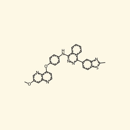 COc1cnc2c(Oc3ccc(Nc4nnc(-c5ccc6sc(C)nc6c5)c5ccccc45)cc3)ccnc2c1